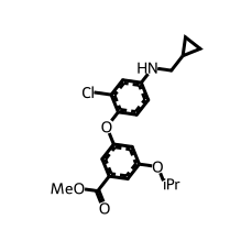 COC(=O)c1cc(Oc2ccc(NCC3CC3)cc2Cl)cc(OC(C)C)c1